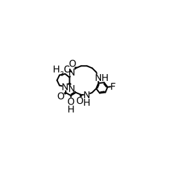 CN1C(=O)CCCCNc2cc(F)ccc2CNC(=O)c2nc3n(c(=O)c2O)CCCCC31